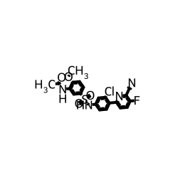 COc1ccc(S(=O)(=O)Nc2ccc(-c3ccc(F)c(C#N)n3)c(Cl)c2)cc1NC(C)=O